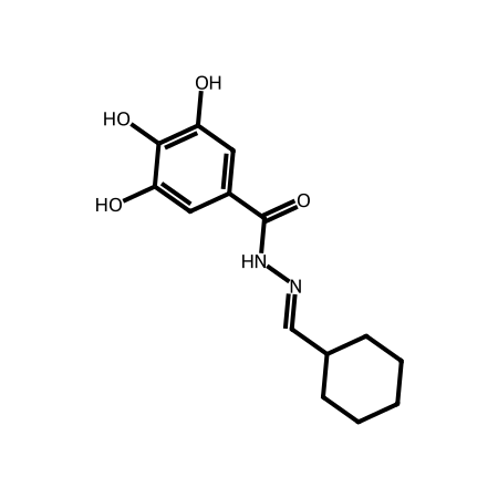 O=C(NN=CC1CCCCC1)c1cc(O)c(O)c(O)c1